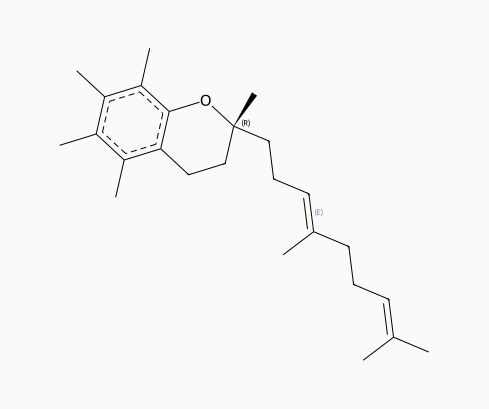 CC(C)=CCC/C(C)=C/CC[C@]1(C)CCc2c(C)c(C)c(C)c(C)c2O1